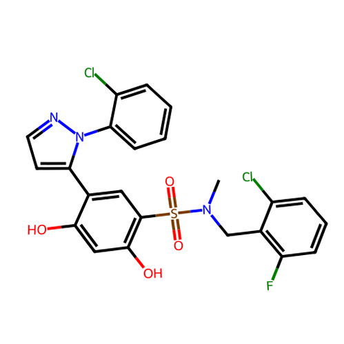 CN(Cc1c(F)cccc1Cl)S(=O)(=O)c1cc(-c2ccnn2-c2ccccc2Cl)c(O)cc1O